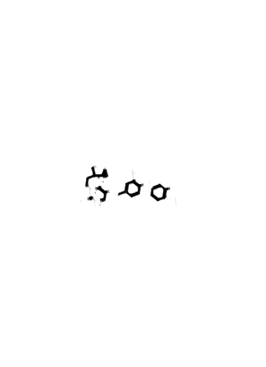 O=c1ncc(OCc2ccc(Oc3ccc(Cl)c(C(F)(F)F)c3)c(F)c2)c2n1CCC13COC(CN21)C3